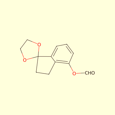 O=COc1cccc2c1CCC21OCCO1